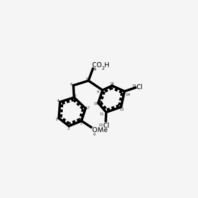 COc1cccc(CC(C(=O)O)c2cc(Cl)cc(Cl)c2)c1